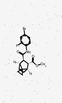 COC(=O)[C@H]1[C@H](C(=O)Nc2ccc(Br)cc2F)[C@@H]2C=C[C@H]1C21CC1